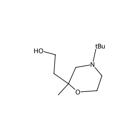 CC1(CCO)CN(C(C)(C)C)CCO1